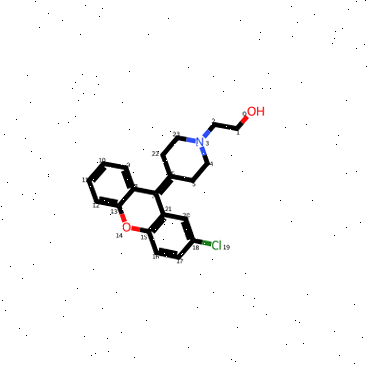 OCCN1CCC(=C2c3ccccc3Oc3ccc(Cl)cc32)CC1